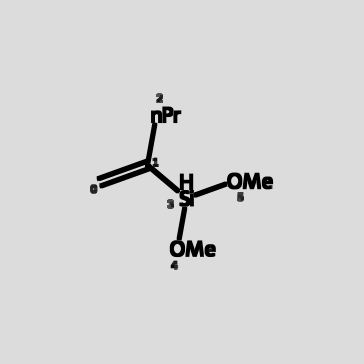 C=C(CCC)[SiH](OC)OC